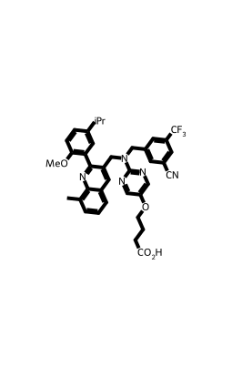 COc1ccc(C(C)C)cc1-c1nc2c(C)cccc2cc1CN(Cc1cc(C#N)cc(C(F)(F)F)c1)c1ncc(OCCCC(=O)O)cn1